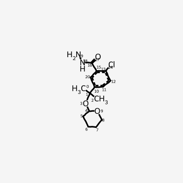 CC(C)(OC1CCCCO1)c1ccc(Cl)c(C(=O)NN)c1